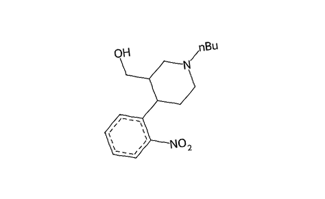 CCCCN1CCC(c2ccccc2[N+](=O)[O-])C(CO)C1